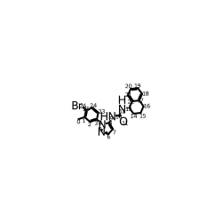 Cc1cc(-n2nccc2NC(=O)N[C@H]2CCCc3ccccc32)ccc1Br